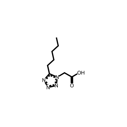 CCCCCc1nnnn1CC(=O)O